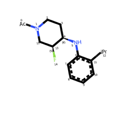 CC(=O)N1CC[C@@H](Nc2ccccc2C(C)C)[C@@H](F)C1